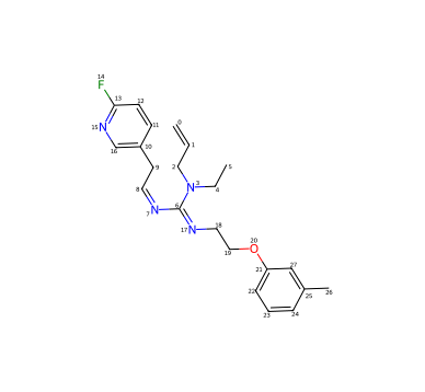 C=CCN(CC)C(/N=C\Cc1ccc(F)nc1)=N\CCOc1cccc(C)c1